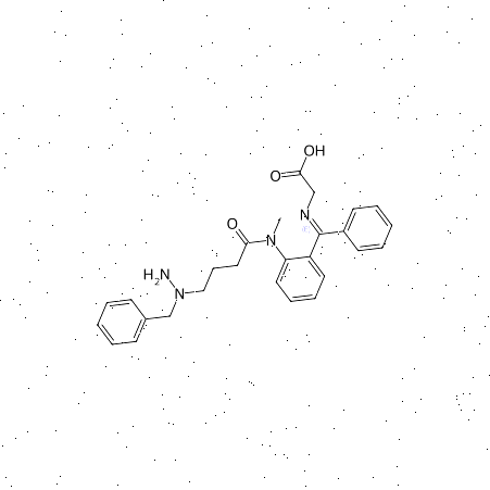 CN(C(=O)CCCN(N)Cc1ccccc1)c1ccccc1/C(=N/CC(=O)O)c1ccccc1